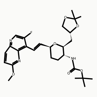 COc1ccc2ncc(F)c(C=C[C@@H]3CC[C@@H](NC(=O)OC(C)(C)C)[C@H](C[C@@H]4COC(C)(C)O4)O3)c2n1